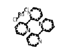 [Cl][Ru][Cl].c1ccc(-c2ccccn2)nc1.c1ccc(-c2ccccn2)nc1